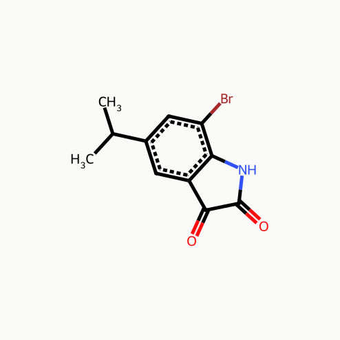 CC(C)c1cc(Br)c2c(c1)C(=O)C(=O)N2